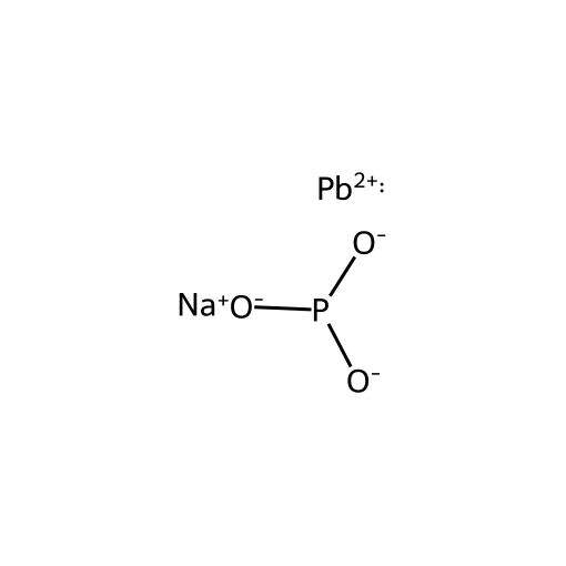 [Na+].[O-]P([O-])[O-].[Pb+2]